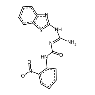 NC(=NC(=O)Nc1ccccc1[N+](=O)[O-])Nc1nc2ccccc2s1